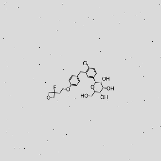 OCC1O[C@@H](c2ccc(Cl)c(Cc3ccc(OCCC4(F)COC4)cc3)c2)[C@H](O)[C@@H](O)[C@@H]1O